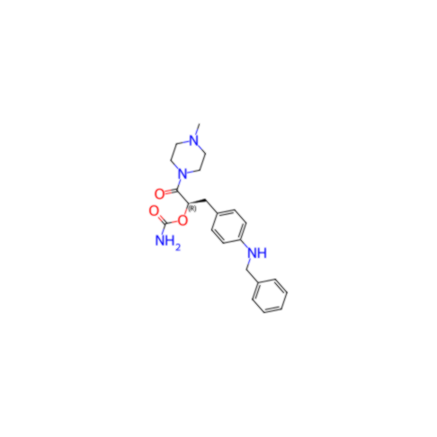 CN1CCN(C(=O)[C@@H](Cc2ccc(NCc3ccccc3)cc2)OC(N)=O)CC1